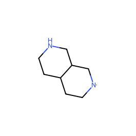 C1CC2CCNCC2C[N]1